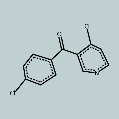 O=C(c1ccc(Cl)cc1)c1cnccc1Cl